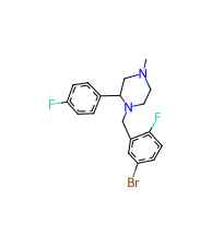 CN1CCN(Cc2cc(Br)ccc2F)C(c2ccc(F)cc2)C1